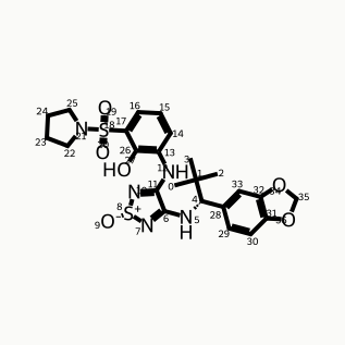 CC(C)(C)[C@@H](Nc1n[s+]([O-])nc1Nc1cccc(S(=O)(=O)N2CCCC2)c1O)c1ccc2c(c1)OCO2